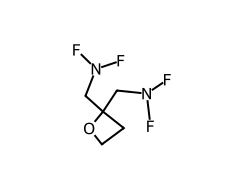 FN(F)CC1(CN(F)F)CCO1